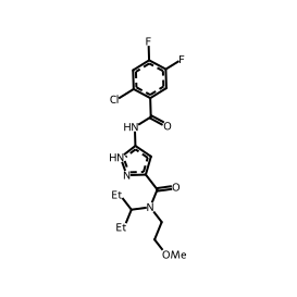 CCC(CC)N(CCOC)C(=O)c1cc(NC(=O)c2cc(F)c(F)cc2Cl)[nH]n1